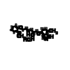 COc1ccccc1OCCNCC(O)COc1ccc(C)c2[nH]nnc12.Cl